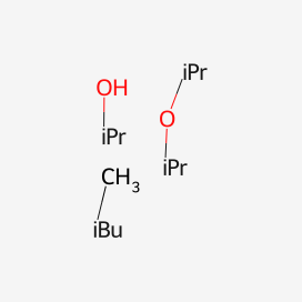 CC(C)O.CC(C)OC(C)C.CCC(C)C